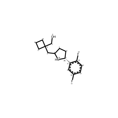 OCC1(CC2CC[C@H](c3cc(F)ccc3F)N2)CCC1